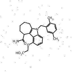 Cc1ccc(C)c(Cn2c3c(c4c(OCC(=O)O)cccc42)C(C(N)=O)CCCC3)c1